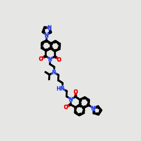 CC(C)N(CCCNCCN1C(=O)c2cccc3c(-n4cccc4)ccc(c23)C1=O)CCN1C(=O)c2cccc3c(-n4ccnc4)ccc(c23)C1=O